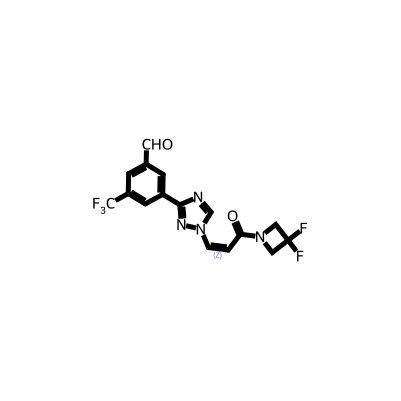 O=Cc1cc(-c2ncn(/C=C\C(=O)N3CC(F)(F)C3)n2)cc(C(F)(F)F)c1